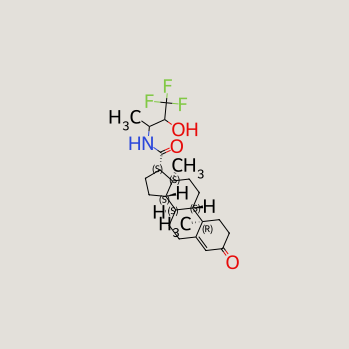 CC(NC(=O)[C@H]1CC[C@H]2[C@@H]3CCC4=CC(=O)CC[C@]4(C)[C@H]3CC[C@]12C)C(O)C(F)(F)F